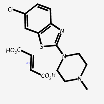 CN1CCN(c2nc3ccc(Cl)cc3s2)CC1.O=C(O)/C=C/C(=O)O